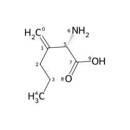 C=C(CCC)[C@H](N)C(=O)O